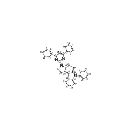 c1ccc(-c2nc(-c3ccccc3)nc(-n3ccc4c5c6ccccc6n(-c6ccccc6)c5ccc43)n2)cc1